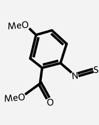 COC(=O)c1cc(OC)ccc1N=S